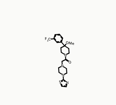 COC1(c2cccc(C(F)(F)F)c2)CCN(C(=O)CN2CCN(c3nccs3)CC2)CC1